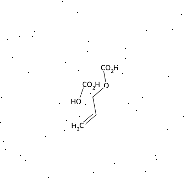 C=CCOC(=O)O.O=C(O)O